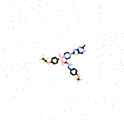 Cc1ncc2sc(N3CCN(S(=O)(=O)c4ccc(OC(F)(F)C(F)F)cc4)[C@@H](C(=O)NCc4ccc(OC(F)(F)F)cc4)C3)nc2n1